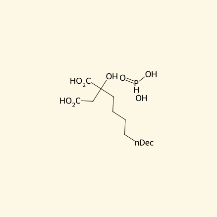 CCCCCCCCCCCCCCC(O)(CC(=O)O)C(=O)O.O=[PH](O)O